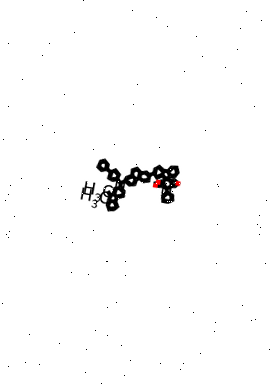 CC1(C)c2ccccc2-c2ccc(N(c3ccc(-c4ccccc4)cc3)c3ccc4c(ccc5cc(-c6ccc7c(c6)C6(c8ccccc8-7)c7ccccc7N(c7ccccc7)c7ccccc76)ccc54)c3)cc21